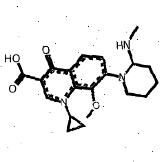 CNC1CCCCN1c1ccc2c(=O)c(C(=O)O)cn(C3CC3)c2c1OC